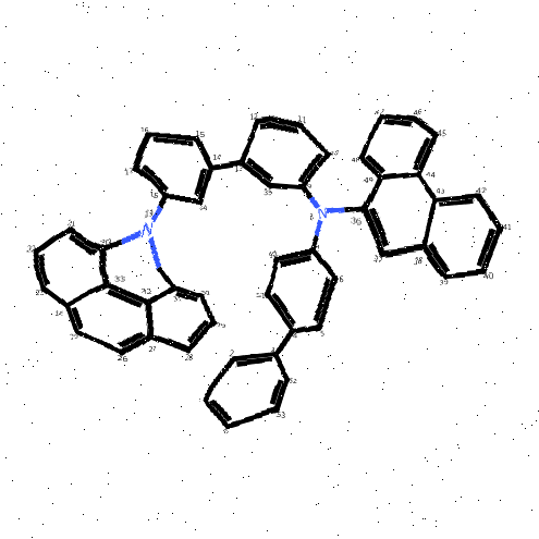 c1ccc(-c2ccc(N(c3cccc(-c4cccc(-n5c6cccc7ccc8cccc5c8c76)c4)c3)c3cc4ccccc4c4ccccc34)cc2)cc1